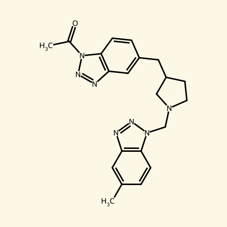 CC(=O)n1nnc2cc(CC3CCN(Cn4nnc5cc(C)ccc54)C3)ccc21